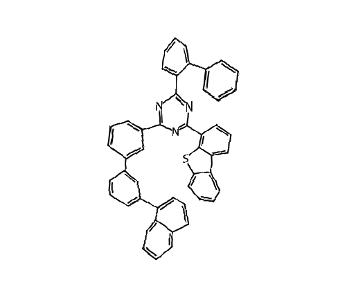 c1ccc(-c2ccccc2-c2nc(-c3cccc(-c4cccc(-c5cccc6ccccc56)c4)c3)nc(-c3cccc4c3sc3ccccc34)n2)cc1